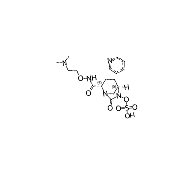 CN(C)CCONC(=O)[C@@H]1CC[C@@H]2CN1C(=O)N2OS(=O)(=O)O.c1ccncc1